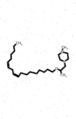 CCCCC/C=C\C/C=C\CCCCCCCCOC(C)CN1CCN(C)CC1